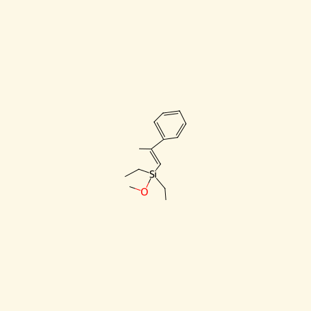 CC[Si](C=C(C)c1ccccc1)(CC)OC